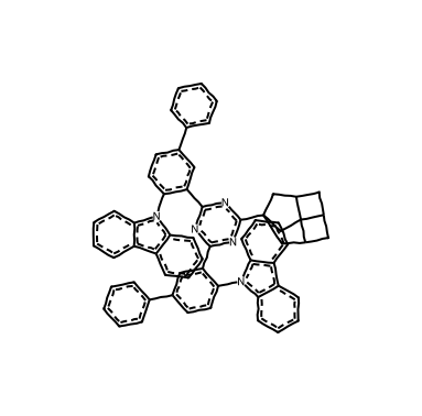 c1ccc(-c2ccc(-n3c4ccccc4c4ccccc43)c(-c3nc(-c4cc(-c5ccccc5)ccc4-n4c5ccccc5c5ccccc54)nc(C45CC6CC7CC(C4)C76C5)n3)c2)cc1